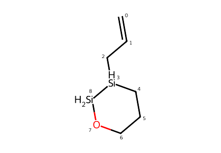 C=CC[SiH]1CCCO[SiH2]1